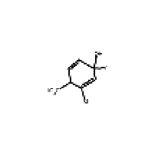 O=C(O)C1C=CC(O)(Cl)C=C1Cl